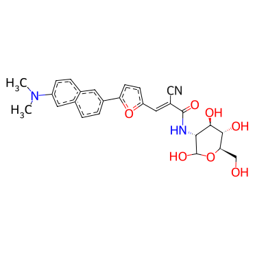 CN(C)c1ccc2cc(-c3ccc(/C=C(\C#N)C(=O)N[C@H]4C(O)O[C@H](CO)[C@@H](O)[C@@H]4O)o3)ccc2c1